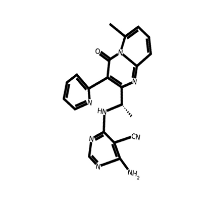 Cc1cccc2nc([C@H](C)Nc3ncnc(N)c3C#N)c(-c3ccccn3)c(=O)n12